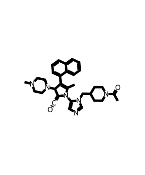 CC(=O)N1CCC(Cn2cncc2N2C(=C=O)C(N3CCN(C)CC3)C(c3cccc4ccccc34)=C2C)CC1